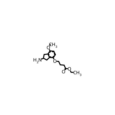 CCOC(=O)CCCOc1ccc(OC)c2c1CC(N)C2